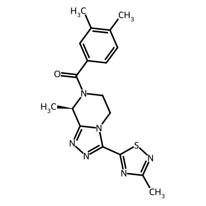 Cc1nsc(-c2nnc3n2CCN(C(=O)c2ccc(C)c(C)c2)[C@@H]3C)n1